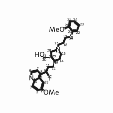 COc1ccc2nccc(C(F)CC[C@@H]3CCN(CCCSc4ccccc4OC)C[C@@H]3CO)c2c1